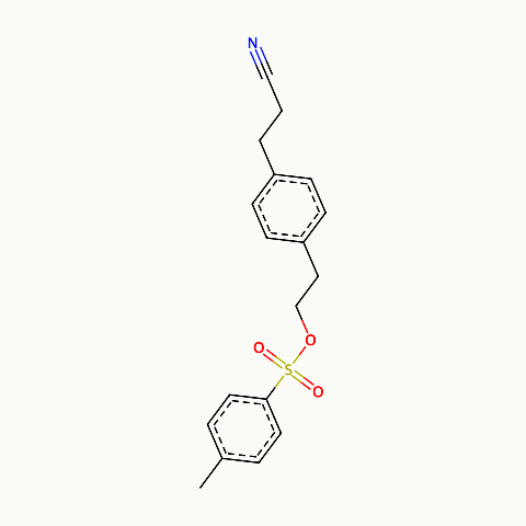 Cc1ccc(S(=O)(=O)OCCc2ccc(CCC#N)cc2)cc1